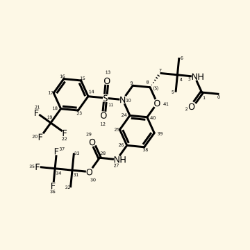 CC(=O)NC(C)(C)C[C@H]1CN(S(=O)(=O)c2cccc(C(F)(F)F)c2)c2cc(NC(=O)OC(C)(C)C(F)(F)F)ccc2O1